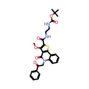 COc1c(C(=O)NCCNC(=O)OC(C)(C)C)sc2c1c(=O)n(CC(=O)c1ccccc1)c1ccccc21